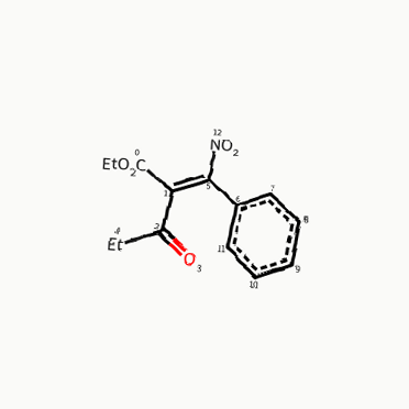 CCOC(=O)C(C(=O)CC)=C(c1ccccc1)[N+](=O)[O-]